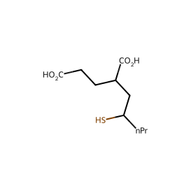 CCCC(S)CC(CCC(=O)O)C(=O)O